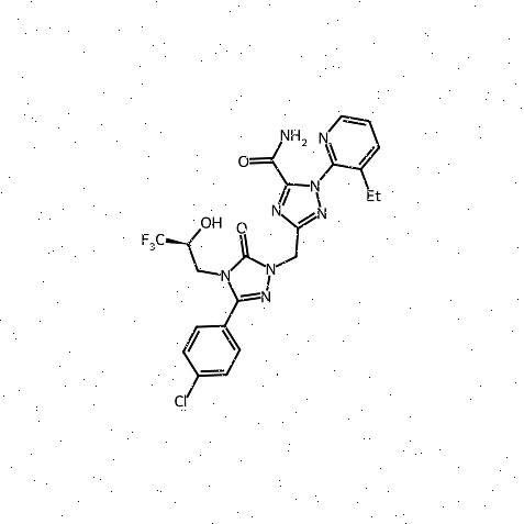 CCc1cccnc1-n1nc(Cn2nc(-c3ccc(Cl)cc3)n(C[C@H](O)C(F)(F)F)c2=O)nc1C(N)=O